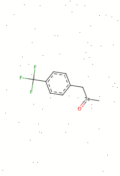 C[Te](=O)Cc1ccc(C(F)(F)F)cc1